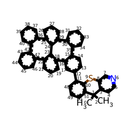 CC1(C)c2ccncc2Sc2c(-c3ccc4c(c3)c3cccc5c3-c3c(cccc3c3ccccc34)c3ccccc3c3ccccc53)cccc21